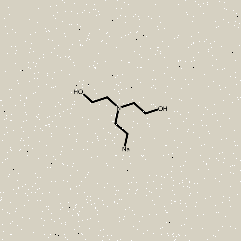 OCCN(CCO)C[CH2][Na]